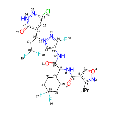 CC(C)c1nocc1C(=O)NC(C(=O)Nc1cn(C(CC(F)F)c2cc(Cl)n[nH]c2=O)nc1F)C1CCC(F)(F)CC1